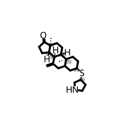 C=C1CC2C[C@H](S[C@@H]3CCNC3)CC[C@]2(C)[C@H]2CC[C@]3(C)C(=O)CC[C@H]3[C@H]12